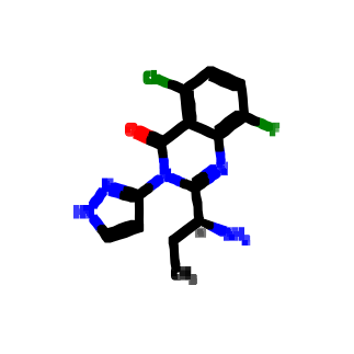 CC[C@H](N)c1nc2c(F)ccc(Cl)c2c(=O)n1-c1cc[nH]n1